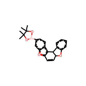 CC1(C)OB(c2ccc3c4c(oc3c2)C=CC2Oc3ccccc3C42)OC1(C)C